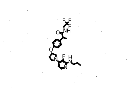 CCCNc1nccc(N2CC[C@@H](Oc3ccc(C(C)C(=O)NCC(F)(F)F)cc3)C2)c1F